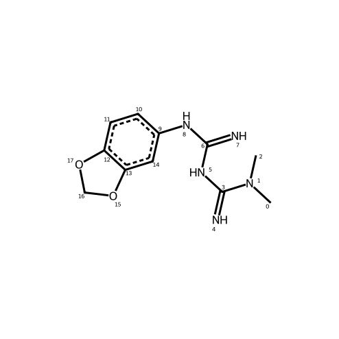 CN(C)C(=N)NC(=N)Nc1ccc2c(c1)OCO2